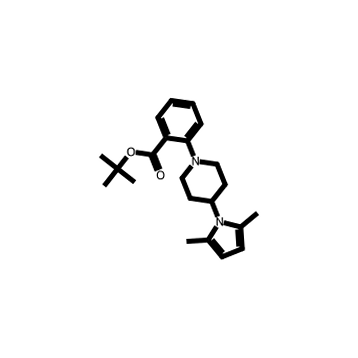 Cc1ccc(C)n1C1CCN(c2ccccc2C(=O)OC(C)(C)C)CC1